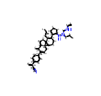 C=CNCN(CCC)NC1CCCC1C1CCC2C34CC=C(c5ccc(C(=C)C#N)cc5)C(C)C3CCC24C1CCC